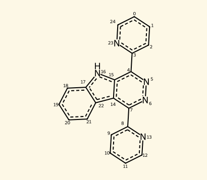 c1ccc(-c2nnc(-c3ccccn3)c3c2[nH]c2ccccc23)nc1